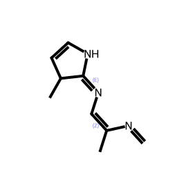 C=N/C(C)=C\N=C1\NC=CC1C